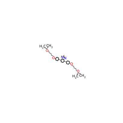 C=CC(C=C)OCCCCCOc1ccc(-c2ccc(-c3ccc(OCCCCCOC(C=C)C=C)cc3)c3nsnc23)cc1